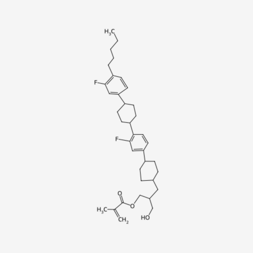 C=C(C)C(=O)OCC(CO)CC1CCC(c2ccc(C3CCC(c4ccc(CCCCC)c(F)c4)CC3)c(F)c2)CC1